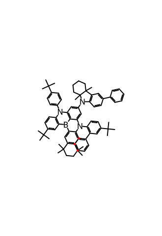 CC(C)(C)c1ccc(N2c3ccc(C(C)(C)C)cc3B3c4cc5c(cc4N(c4ccc(C(C)(C)C)cc4-c4ccccc4)c4cc(N6c7ccc(-c8ccccc8)cc7C7(C)CCCCC67C)cc2c43)C(C)(C)CCC5(C)C)cc1